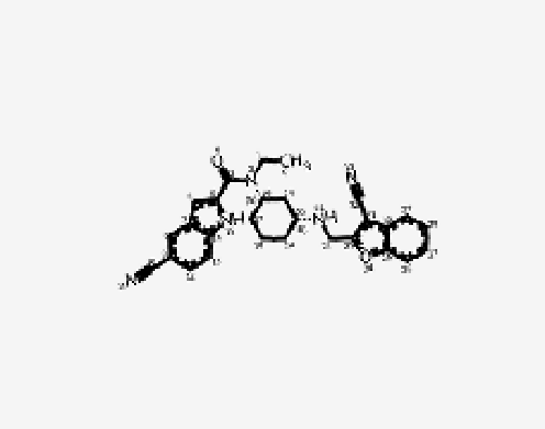 CCN(C(=O)c1cc2cc(C#N)ccc2[nH]1)[C@H]1CCC[C@@H](NCc2oc3ccccc3c2C#N)C1